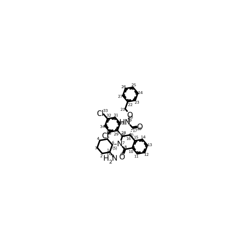 N[C@H]1CCCC[C@@H]1N1C(=O)c2ccccc2[C@@H](C(=O)NOCc2ccccc2)[C@@H]1c1ccc(Cl)cc1Cl